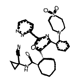 N#CC1(NC(=O)[C@@H]2CCCC[C@H]2c2oc(-c3cccnn3)nc2-c2ccccc2N2CCS(=O)(=O)CC2)CC1